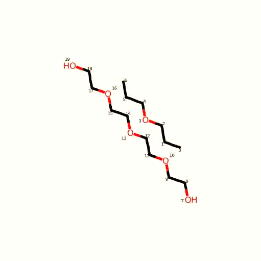 CCCOCCC.OCCOCCOCCOCCO